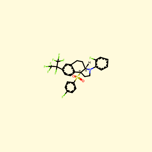 O=S(=O)(c1ccc(F)cc1)[C@]12CCN(c3ccccc3F)[C@H]1CCc1cc(C(F)(C(F)(F)F)C(F)(F)F)ccc12